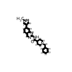 Cn1cc(-c2ccc3cnc(NC(=O)C4CCN(Cc5ccccc5)CC4)nc3c2)cn1